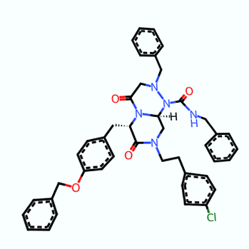 O=C1[C@H](Cc2ccc(OCc3ccccc3)cc2)N2C(=O)CN(Cc3ccccc3)N(C(=O)NCc3ccccc3)[C@H]2CN1CCc1ccc(Cl)cc1